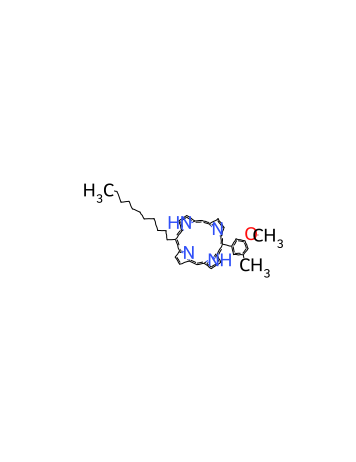 CCCCCCCCCCCc1c2nc(cc3ccc([nH]3)c(-c3cc(C)cc(OC)c3)c3nc(cc4ccc1[nH]4)C=C3)C=C2